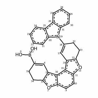 OB(O)C1=Cc2c(oc3ccc4oc5c(c4c23)C=C(n2c3ccccc3c3ccccc32)CC5)CC1